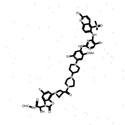 CCCC(C(=O)NC=O)n1c(=O)oc2c(N3CC(C(=O)N4CCN(C5CCN(c6cc(OC)c(Nc7ncc(Br)c(Nc8ccc9nc(CC)ccc9c8P(C)(C)=O)n7)cc6CC)CC5)CC4)C3)cc(F)cc21